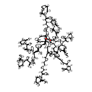 CC(OOCC(COCC(COCC(COCCOCCC(=O)N1CCSC1=S)OOCCCCC(=O)N1CCSC1=S)(COCC(COOCCCCC(=O)N1CCSC1=S)OOCCCCC(=O)N1CCSC1=S)COCC(COOC(C)C(=O)N1CCSC1=S)OOC(C)C(=O)N1CCSC1=S)OOC(C)C(=O)N1CCSC1=S)C(=O)N1CCSC1=S